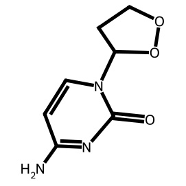 Nc1ccn(C2CCOO2)c(=O)n1